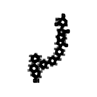 O=C1CCC(N2Cc3cc4c(cc3C2=O)C(=O)N(C2CCN(CC3CCN(c5ccc([C@@H]6c7ccc(O)cc7CC[C@@H]6c6ccccc6)cc5)CC3)CC2)C4)C(=O)N1